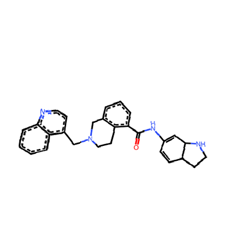 O=C(NC1=CC2NCCC2C=C1)c1cccc2c1CCN(Cc1ccnc3ccccc13)C2